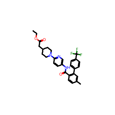 CCOC(=O)CC1CCN(c2ccc(NC(=O)c3ccc(C)cc3-c3ccc(C(F)(F)F)cc3)cn2)CC1